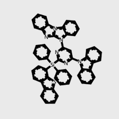 c1ccc([Si](c2ccccc2)(c2nc(-n3c4ccccc4c4ccccc43)cc(-n3c4ccccc4n4c5ccccc5nc34)n2)c2cccc3c2sc2ccccc23)cc1